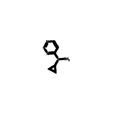 NN(c1ccnnn1)C1CC1